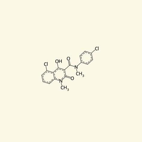 CN(C(=O)c1c(O)c2c(Cl)cccc2n(C)c1=O)c1ccc(Cl)cc1